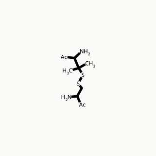 CC(=O)C(N)CSSC(C)(C)C(N)C(C)=O